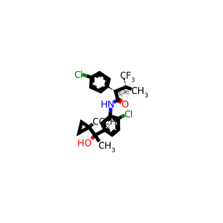 C[C@H]([C@H](C(=O)Nc1cc(C(C)(O)C2(C(=O)O)CC2)ccc1Cl)c1ccc(Cl)cc1)C(F)(F)F